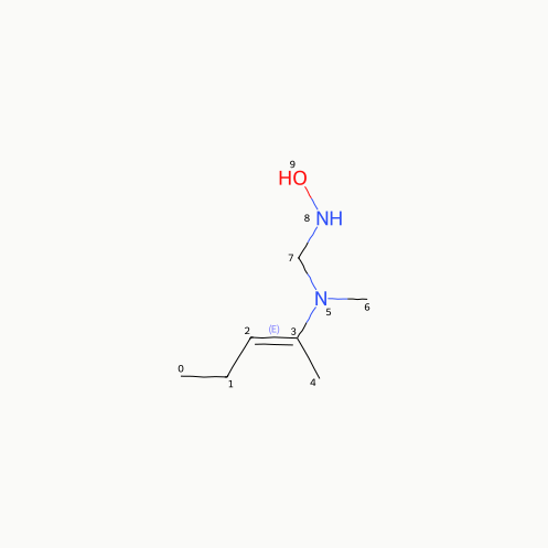 CC/C=C(\C)N(C)CNO